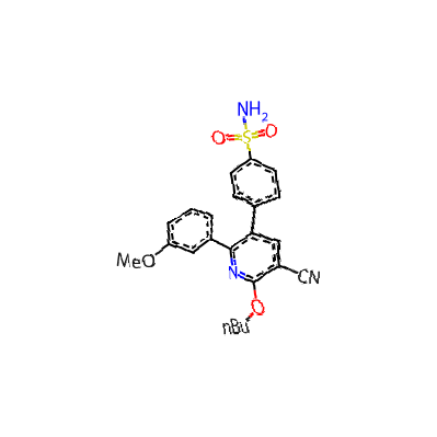 CCCCOc1nc(-c2cccc(OC)c2)c(-c2ccc(S(N)(=O)=O)cc2)cc1C#N